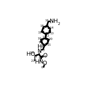 CONC(=O)[C@@H](NCc1ccc(-c2ccc(CN)cc2)cc1)[C@@H](C)O